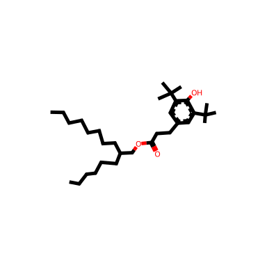 CCCCCCCCC(CCCCCC)COC(=O)CCc1cc(C(C)(C)C)c(O)c(C(C)(C)C)c1